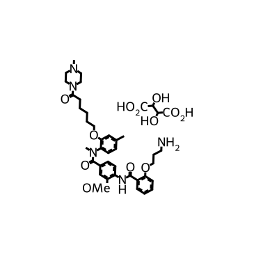 COc1cc(C(=O)N(C)c2ccc(C)cc2OCCCCCC(=O)N2CCN(C)CC2)ccc1NC(=O)c1ccccc1OCCCN.O=C(O)C(O)C(O)C(=O)O